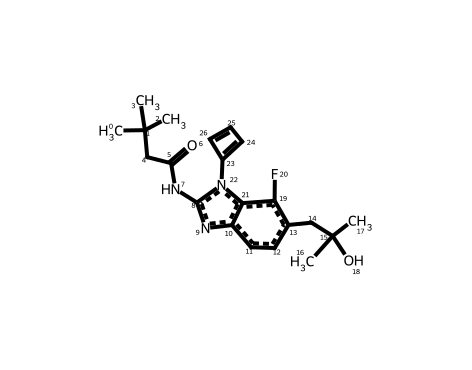 CC(C)(C)CC(=O)Nc1nc2ccc(CC(C)(C)O)c(F)c2n1C1=CC=C1